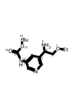 CCOCC(N)c1cncc(NC(=O)OC(C)(C)C)c1